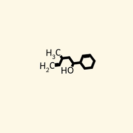 C=CC(C)CC(O)C1C=CCCC1